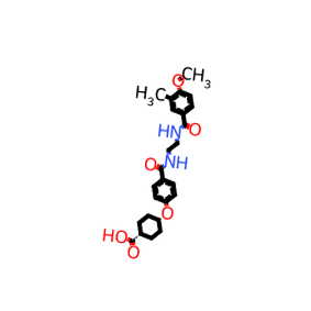 COc1ccc(C(=O)NCCNC(=O)c2ccc(O[C@H]3CC[C@@H](C(=O)O)CC3)cc2)cc1C